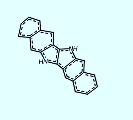 c1ccc2cc3c(cc2c1)[nH]c1c2cc4ccccc4cc2[nH]c31